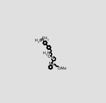 COCCCn1c(C2CCCN(C(=O)CC(N)Cc3ccc(-c4ccc(N(C)C)cc4)cc3)C2)nc2ccccc21